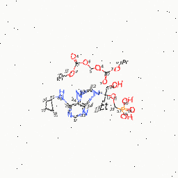 CC(C)OC(=O)OCOC(=O)OC(C)C.CCC(CO)(OCP(=O)(O)O)n1cnc2c(NC3CCC3)ncnc21